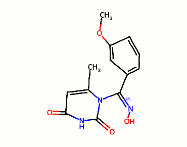 COc1cccc(/C(=N/O)n2c(C)cc(=O)[nH]c2=O)c1